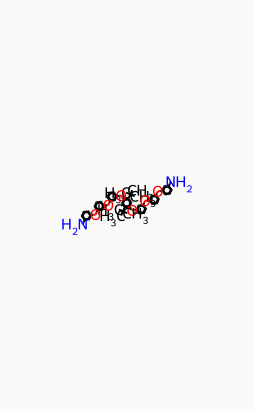 CC(C)(C)c1cc(Oc2cccc(Oc3cccc(Oc4cccc(N)c4)c3)c2)c(C(C)(C)C)cc1Oc1cccc(Oc2cccc(Oc3cccc(N)c3)c2)c1